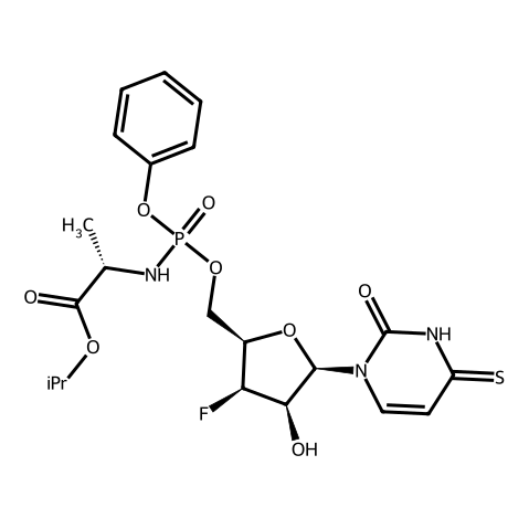 CC(C)OC(=O)[C@H](C)NP(=O)(OC[C@H]1O[C@@H](n2ccc(=S)[nH]c2=O)[C@@H](O)[C@H]1F)Oc1ccccc1